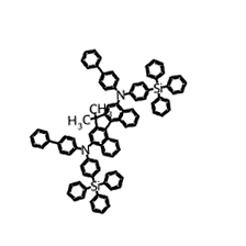 CC1(C)c2cc(N(c3ccc(-c4ccccc4)cc3)c3ccc([Si](c4ccccc4)(c4ccccc4)c4ccccc4)cc3)c3ccccc3c2-c2c1cc(N(c1ccc(-c3ccccc3)cc1)c1ccc([Si](c3ccccc3)(c3ccccc3)c3ccccc3)cc1)c1ccccc21